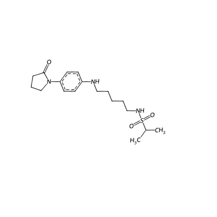 CC(C)S(=O)(=O)NCCCCCNc1ccc(N2CCCC2=O)cc1